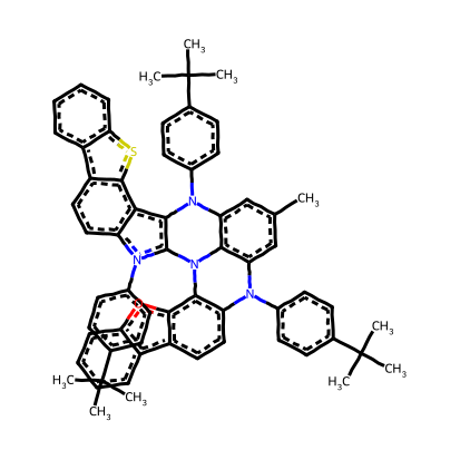 Cc1cc2c3c(c1)N(c1ccc(C(C)(C)C)cc1)c1c(n(-c4ccc(C(C)(C)C)cc4)c4ccc5c6ccccc6sc5c14)N3c1c(ccc3c1oc1ccccc13)N2c1ccc(C(C)(C)C)cc1